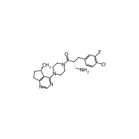 C[C@@H]1CCc2ncnc(N3CCN(C(=O)[C@@H](CN)Cc4ccc(Cl)c(F)c4)CC3)c21